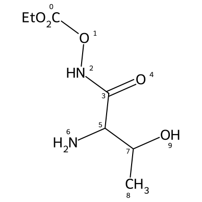 CCOC(=O)ONC(=O)C(N)C(C)O